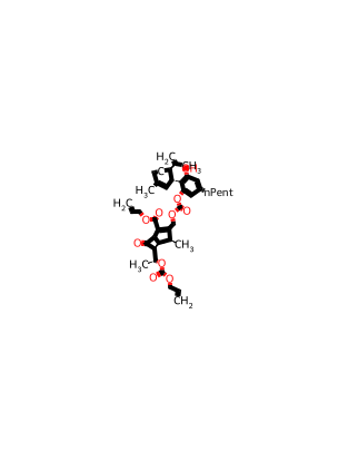 C=CCOC(=O)O[C@H](C)[C@H]1C(=O)C2C(C(=O)OCC=C)=C(COC(=O)Oc3cc(CCCCC)cc(O)c3[C@@H]3C=C(C)CC[C@H]3C(=C)C)[C@H](C)C21